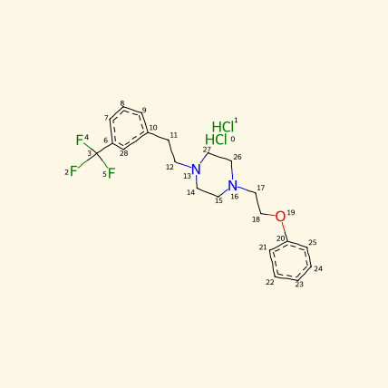 Cl.Cl.FC(F)(F)c1cccc(CCN2CCN(CCOc3ccccc3)CC2)c1